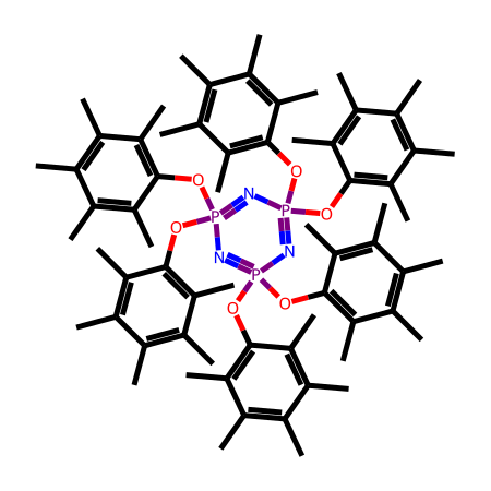 Cc1c(C)c(C)c(OP2(Oc3c(C)c(C)c(C)c(C)c3C)=NP(Oc3c(C)c(C)c(C)c(C)c3C)(Oc3c(C)c(C)c(C)c(C)c3C)=NP(Oc3c(C)c(C)c(C)c(C)c3C)(Oc3c(C)c(C)c(C)c(C)c3C)=N2)c(C)c1C